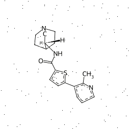 Cc1ncccc1-c1ccc(C(=O)N[C@H]2CN3CCC2CC3)s1